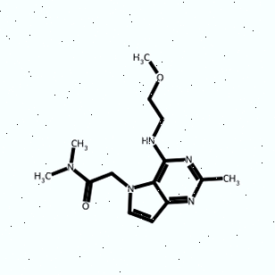 COCCNc1nc(C)nc2ccn(CC(=O)N(C)C)c12